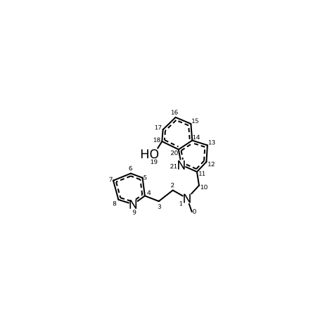 CN(CCc1ccccn1)Cc1ccc2cccc(O)c2n1